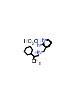 CC(CNCc1cccnc1NC(=O)O)C1CCCCC1